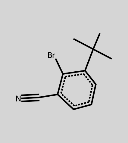 CC(C)(C)c1cccc(C#N)c1Br